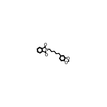 O=C1c2ccccc2C(=O)N1CCCCCc1ccc2c(c1)OCO2